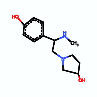 CNC(CN1CCC(O)C1)c1ccc(O)cc1